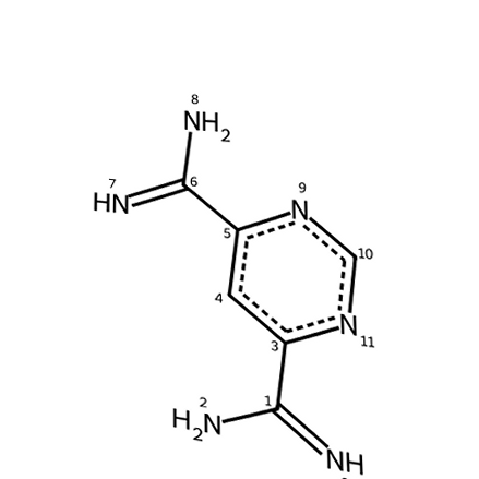 N=C(N)c1cc(C(=N)N)ncn1